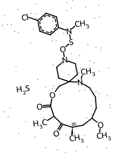 COC1CCCN(C)C2(CCN(OSN(C)c3ccc(Cl)cc3)CC2)COC(=O)C(C)C(=O)[C@H](C)C1.S